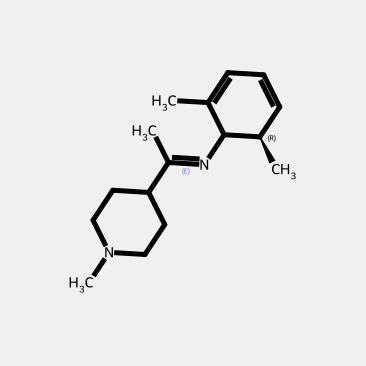 CC1=CC=C[C@@H](C)C1/N=C(\C)C1CCN(C)CC1